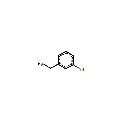 CCc1cccc(S)c1